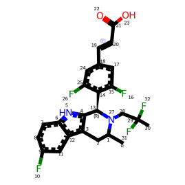 CC1Cc2c([nH]c3ccc(F)cc23)[C@@H](c2c(F)cc(/C=C/C(=O)O)cc2F)N1CC(C)(F)F